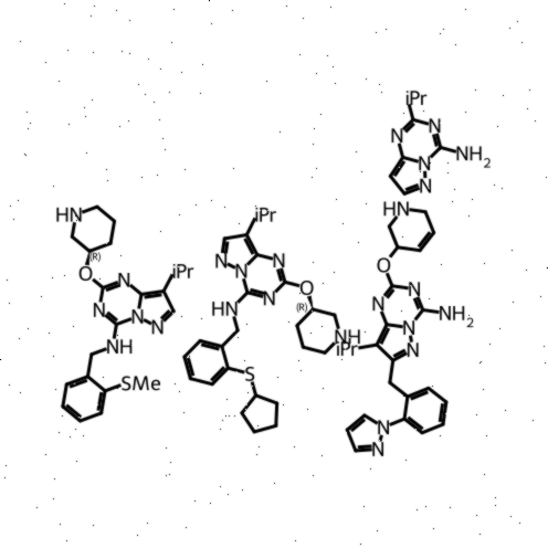 CC(C)c1c(Cc2ccccc2-n2cccn2)nn2c(N)nc(OC3C=CCNC3)nc12.CC(C)c1cnn2c(NCc3ccccc3SC3CCCC3)nc(O[C@@H]3CCCNC3)nc12.CC(C)c1nc(N)n2nccc2n1.CSc1ccccc1CNc1nc(O[C@@H]2CCCNC2)nc2c(C(C)C)cnn12